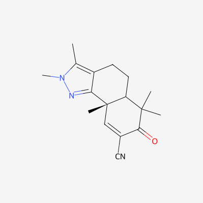 Cc1c2c(nn1C)[C@@]1(C)C=C(C#N)C(=O)C(C)(C)C1CC2